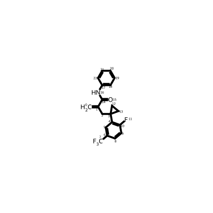 C=C(CC1(c2cc(C(F)(F)F)ccc2F)CC1)C(=O)Nc1ccccc1